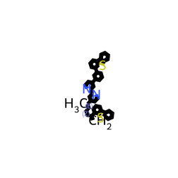 C=C(/C=C\C=C(/C)c1ccnc(-c2cc(-c3cccc(-c4cccc5c4sc4ccccc45)c3)ccn2)c1)c1cccc2c1sc1ccccc12